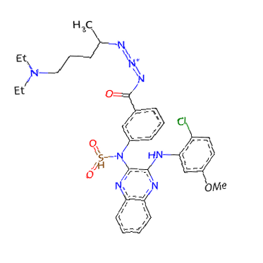 CCN(CC)CCCC(C)N=[N+]=NC(=O)c1cccc(N(c2nc3ccccc3nc2Nc2cc(OC)ccc2Cl)[SH](=O)=O)c1